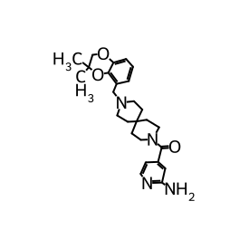 CC1(C)COc2cccc(CN3CCC4(CC3)CCN(C(=O)c3ccnc(N)c3)CC4)c2O1